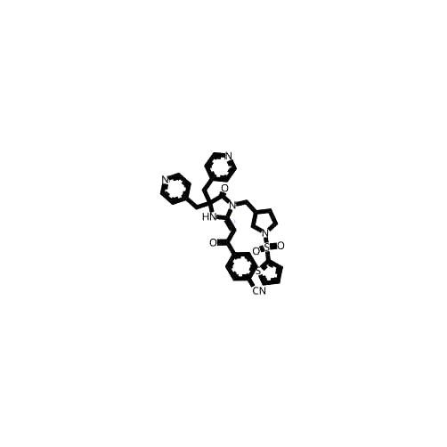 N#Cc1ccc(C(=O)/C=C2\NC(Cc3ccncc3)(Cc3ccncc3)C(=O)N2CC2CCN(S(=O)(=O)c3cccs3)C2)cc1